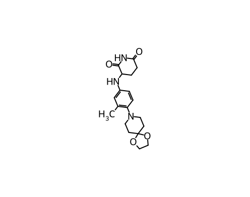 Cc1cc(NC2CCC(=O)NC2=O)ccc1N1CCC2(CC1)OCCO2